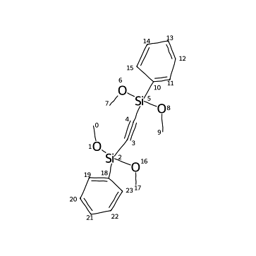 CO[Si](C#C[Si](OC)(OC)c1ccccc1)(OC)c1ccccc1